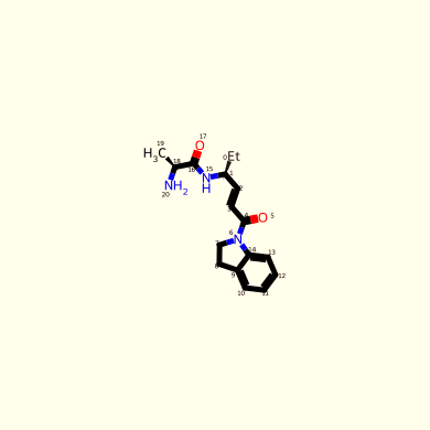 CC[C@@H](/C=C/C(=O)N1CCc2ccccc21)NC(=O)[C@H](C)N